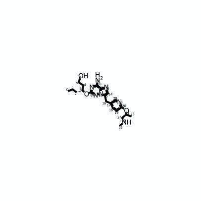 CCC[C@H](CCO)Oc1nc(N)c2ncc(Cc3ccc(OC(C)CNC)nc3)n2n1